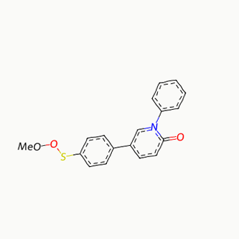 COOSc1ccc(-c2ccc(=O)n(-c3ccccc3)c2)cc1